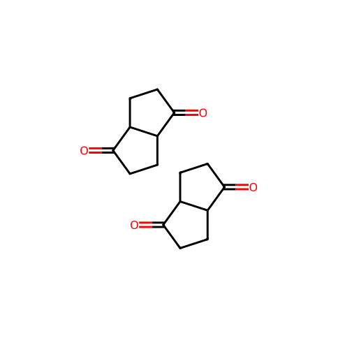 O=C1CCC2C(=O)CCC12.O=C1CCC2C(=O)CCC12